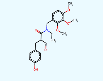 CCN(Cc1ccc(OC)c(OC)c1OC)C(=O)C(C=O)Cc1ccc(O)cc1